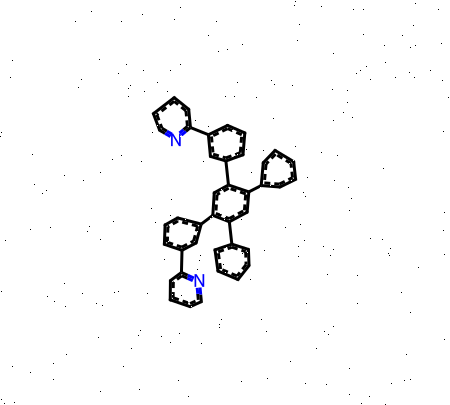 c1ccc(-c2cc(-c3ccccc3)c(-c3cccc(-c4ccccn4)c3)cc2-c2cccc(-c3ccccn3)c2)cc1